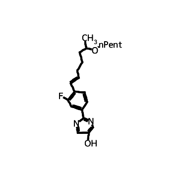 CCCCCOC(C)CCC/C=C/c1ccc(-c2ncc(O)cn2)cc1F